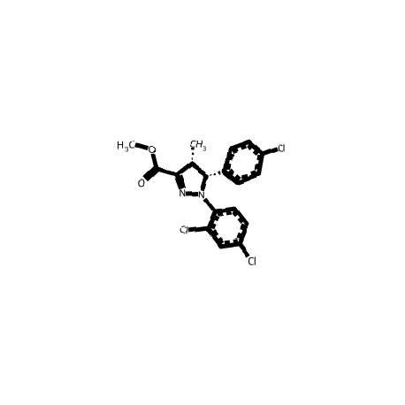 COC(=O)C1=NN(c2ccc(Cl)cc2Cl)[C@@H](c2ccc(Cl)cc2)[C@H]1C